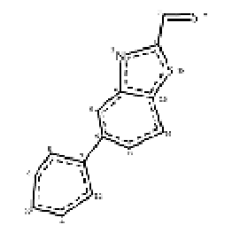 S=[C]c1nc2cc(-c3ccccc3)ccc2s1